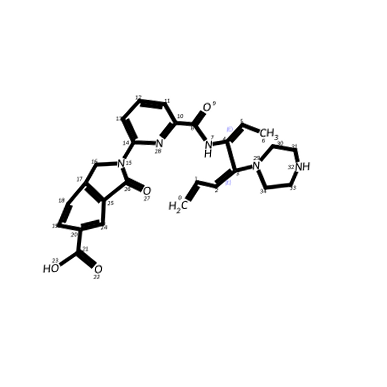 C=C/C=C(\C(=C/C)NC(=O)c1cccc(N2Cc3ccc(C(=O)O)cc3C2=O)n1)N1CCNCC1